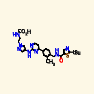 Cc1cc(-c2ccnc(Nc3cnn(CCNC(=O)O)c3)n2)ccc1CNC(=O)c1cnc(C(C)(C)C)s1